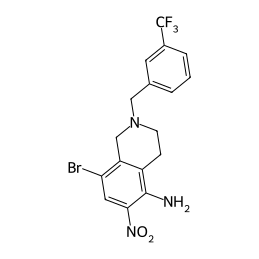 Nc1c([N+](=O)[O-])cc(Br)c2c1CCN(Cc1cccc(C(F)(F)F)c1)C2